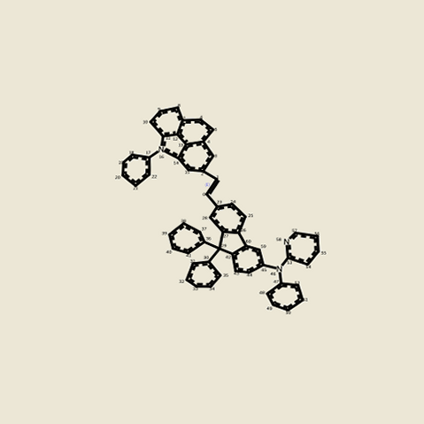 C(=C\c1cc2ccc3cccc4c3c2c(c1)n4-c1ccccc1)/c1ccc2c(c1)C(c1ccccc1)(c1ccccc1)c1ccc(N(c3ccccc3)c3ccccn3)cc1-2